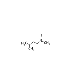 CC(C)CCN(C)I